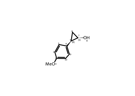 COc1ccc([C@H]2C[C@@H]2O)cc1